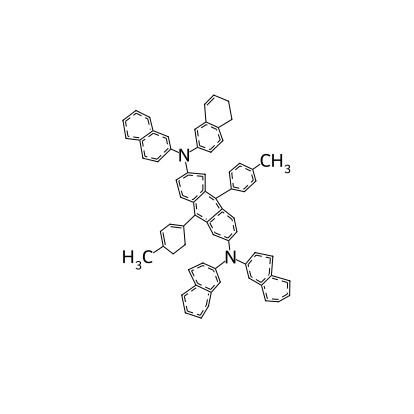 CC1=CC=C(c2c3cc(N(c4ccc5ccccc5c4)c4ccc5ccccc5c4)ccc3c(-c3ccc(C)cc3)c3cc(N(c4ccc5c(c4)C=CCC5)c4ccc5ccccc5c4)ccc23)CC1